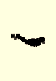 C[C@]12CCC(OCCOCCCN)CC1CC[C@@H]1[C@H]2CC[C@]2(C)C(c3ccoc3)CC[C@@H]12